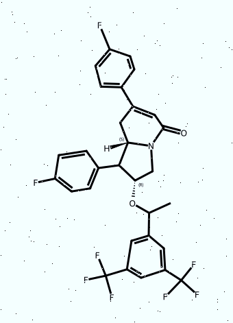 CC(O[C@H]1CN2C(=O)C=C(c3ccc(F)cc3)C[C@H]2C1c1ccc(F)cc1)c1cc(C(F)(F)F)cc(C(F)(F)F)c1